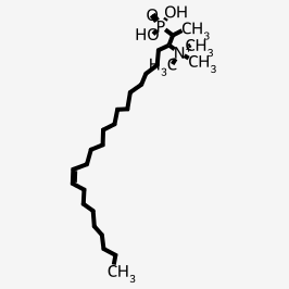 CCCCCCCC/C=C\CCCCCCCCCCCCC(C(C)P(=O)(O)O)[N+](C)(C)C